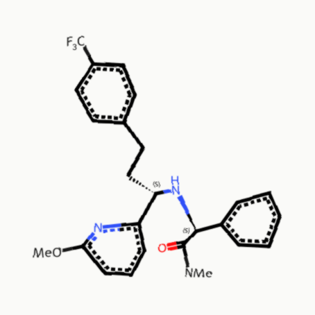 CNC(=O)[C@@H](N[C@@H](CCc1ccc(C(F)(F)F)cc1)c1cccc(OC)n1)c1ccccc1